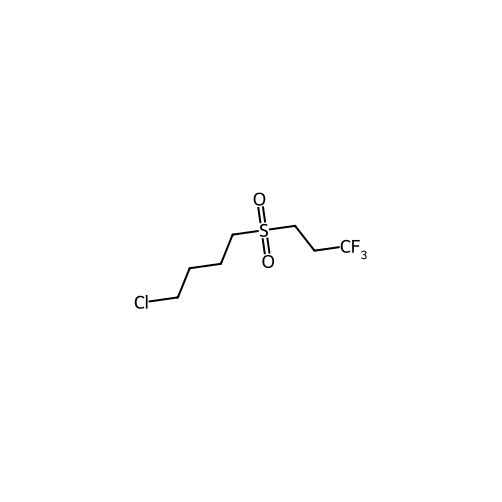 O=S(=O)(CCCCCl)CCC(F)(F)F